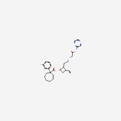 C=CC1C[C@](C)(OC(=O)C2(c3cccc(F)c3)CCCCCC2)C1CCNCC(=O)Nc1cnccn1